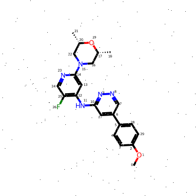 COc1ccc(-c2cnnc(Nc3cc(N4C[C@@H](C)O[C@@H](C)C4)ncc3F)c2)cc1